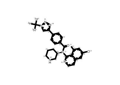 [2H]C([2H])([2H])n1cc(-c2ccc(C(=O)N(c3nccc4cc(Cl)cc(C)c34)[C@@H]3CCCNC3)cc2)nn1